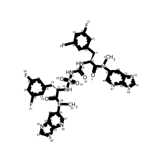 CN(C(=O)[C@H](Cc1cc(F)cc(F)c1)NC(=O)NS(=O)(=O)N[C@@H](Cc1cc(F)cc(F)c1)C(=O)N(C)c1cnc2scnc2c1)c1cnc2scnc2c1